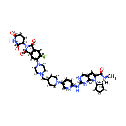 CN(C)C(=O)c1cc2cnc(Nc3ccc(N4CCC(CN5CCN(c6cc7c(cc6F)C(=O)N(C6CCC(=O)NC6=O)C7=O)CC5)CC4)cn3)nc2n1C1CCCC1